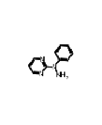 NN(c1ccccc1)c1ncccn1